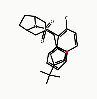 CC(C)(C)c1nc2ccc(Cl)c(S(=O)(=O)N3C4CCC3CN(Cc3ccccc3)C4)c2o1